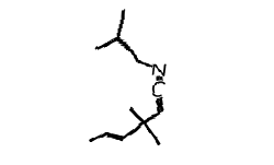 C/C=C/C(C)(C)C=C=NCCC(C)C